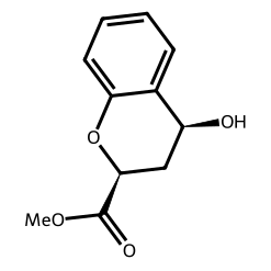 COC(=O)[C@@H]1C[C@H](O)c2ccccc2O1